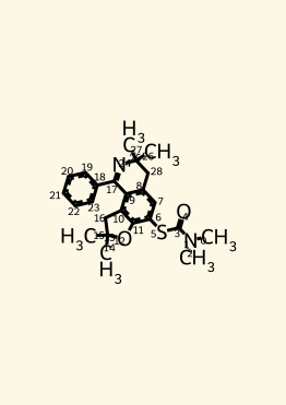 CN(C)C(=O)Sc1cc2c(c3c1OC(C)(C)C3)C(c1ccccc1)=NC(C)(C)C2